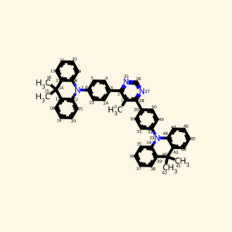 Cc1c(-c2ccc(N3c4ccccc4C(C)(C)c4ccccc43)cc2)ncnc1-c1ccc(N2c3ccccc3C(C)(C)c3ccccc32)cc1